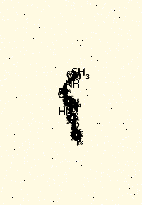 CS(=O)(=O)CCNCc1coc(-c2ccc3c(Nc4ccc(OCc5ccc(F)cc5)cc4)ncnc3c2)c1